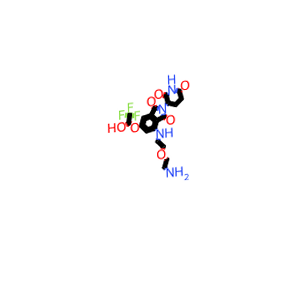 NCCOCCNc1cccc2c1C(=O)N(C1CCC(=O)NC1=O)C2=O.O=C(O)C(F)(F)F